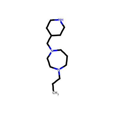 CCCN1CCCN(CC2CCNCC2)CC1